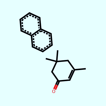 CC1=CC(=O)CC(C)(C)C1.c1ccc2ccccc2c1